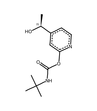 C[C@H](O)c1ccnc(OC(=O)NC(C)(C)C)c1